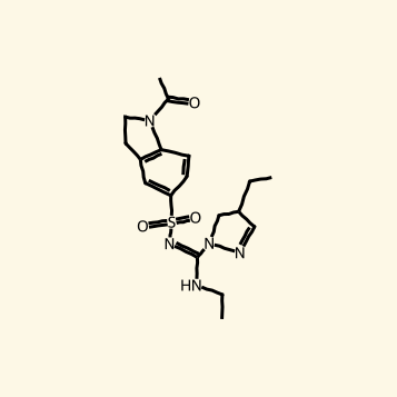 CCN/C(=N/S(=O)(=O)c1ccc2c(c1)CCN2C(C)=O)N1CC(CC)C=N1